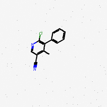 Cc1c(C#N)cnc(Cl)c1-c1ccccc1